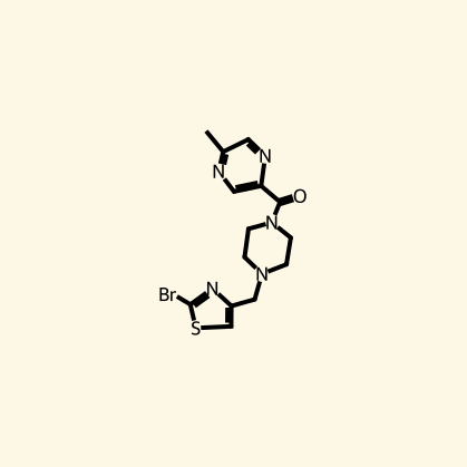 Cc1cnc(C(=O)N2CCN(Cc3csc(Br)n3)CC2)cn1